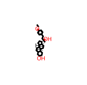 CCOc1ccc(CCC(C)(O)[C@H]2CC[C@H]3[C@@H]4CCC5C[C@@H](O)CC[C@]5(C)[C@H]4CC[C@]23C)cc1